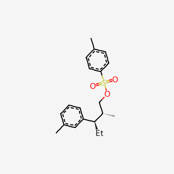 CC[C@@H](c1cccc(C)c1)[C@@H](C)COS(=O)(=O)c1ccc(C)cc1